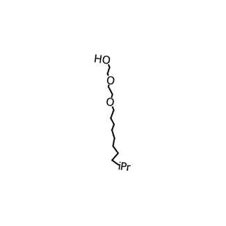 CC(C)CCCCCCCCOCCOCCO